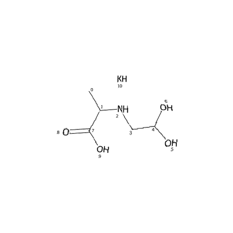 CC(NCC(O)O)C(=O)O.[KH]